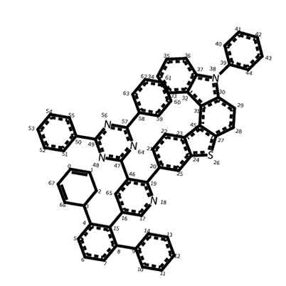 C1=CCC(c2cccc(-c3ccccc3)c2-c2cnc(-c3ccc4c(c3)sc3ccc5c(c6ccccc6n5-c5ccccc5)c34)c(-c3nc(-c4ccccc4)nc(-c4ccccc4)n3)c2)C=C1